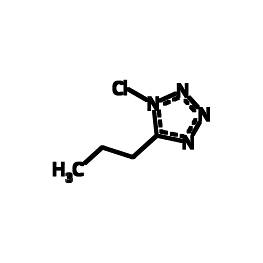 CCCc1nnnn1Cl